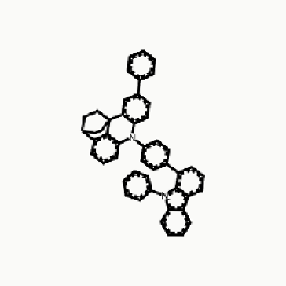 c1ccc(-c2ccc3c(c2)C24CCC(CC2)c2cccc(c24)N3c2ccc(-c3cccc4c5ccccc5n(-c5ccccc5)c34)cc2)cc1